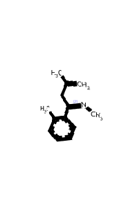 C=C(C)C/C(=N/C)c1ccccc1C